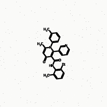 CCc1cccc(C)c1NC(=O)c1c(-c2cccnc2)n(-c2cccc(C)c2)c(C)cc1=O